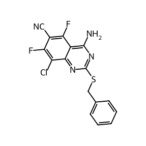 N#Cc1c(F)c(Cl)c2nc(SCc3ccccc3)nc(N)c2c1F